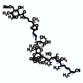 COC[C@@H]([C@H](O)[C@H](O)C(=O)NCC[C@H](C)c1nc(/C=C/C[C@H]2O[C@@]3(C[C@H](O)[C@H]2C)O[C@H]([C@H](C[C@H](O)[C@@H](C)[C@H](O)[C@H](C)/C=C(C)/C(C)=C/C=C/C(C)=C\C#N)OC)[C@H](OP(=O)(O)O)C3(C)C)co1)N(C)C